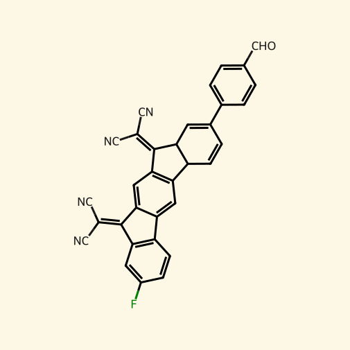 N#CC(C#N)=C1c2cc(F)ccc2-c2cc3c(cc21)C(=C(C#N)C#N)C1C=C(c2ccc(C=O)cc2)C=CC31